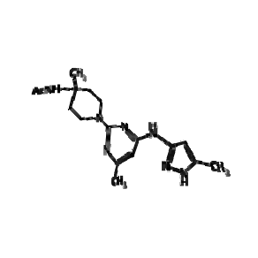 CC(=O)NC1(C)CCN(c2nc(C)cc(Nc3cc(C)[nH]n3)n2)CC1